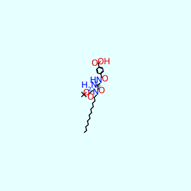 CCCCCCCCCCCCCCN(CC(=O)OC(C)(C)C)C(=O)[C@@H](N)CNC(=O)c1ccc(C(=O)O)cc1